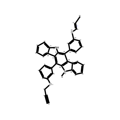 C#CCOc1cccc(-c2c3c([nH]c4ccccc43)c(-c3cccc(O/C=C/C)c3)c3c4ccccc4n(C)c23)c1